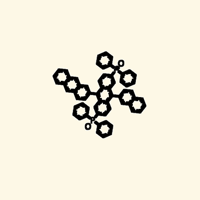 O=P(c1ccccc1)(c1ccccc1)c1ccc2c(-c3ccc4cc5ccccc5cc4c3)c3cc(P(=O)(c4ccccc4)c4ccccc4)ccc3c(-c3ccc4ccccc4c3)c2c1